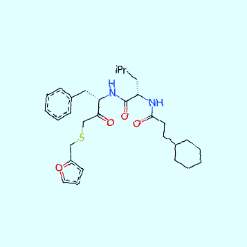 CC(C)C[C@H](NC(=O)CCC1CCCCC1)C(=O)N[C@@H](Cc1ccccc1)C(=O)CSCc1ccco1